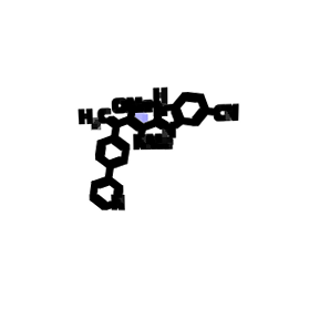 C=C(/C(OC)=C(\NC)c1nc2cc(C#N)ccc2[nH]1)c1ccc(-c2cccnc2)cc1